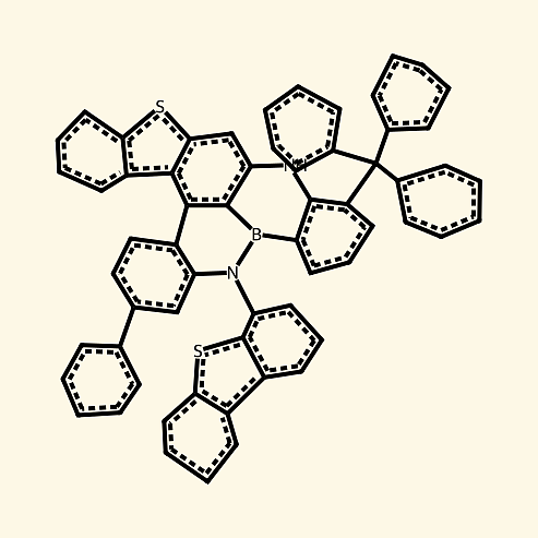 c1ccc(-c2ccc3c(c2)N(c2cccc4c2sc2ccccc24)B2c4cccc(C(c5ccccc5)(c5ccccc5)c5ccccc5)c4Nc4cc5sc6ccccc6c5c-3c42)cc1